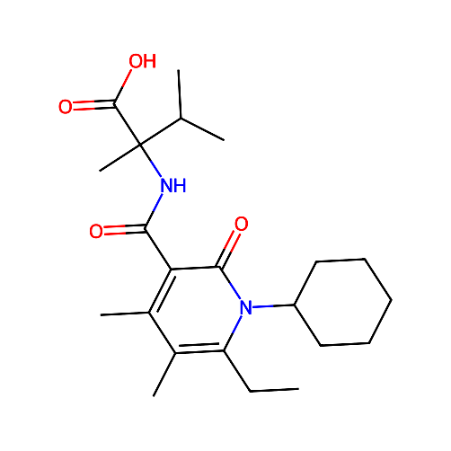 CCc1c(C)c(C)c(C(=O)NC(C)(C(=O)O)C(C)C)c(=O)n1C1CCCCC1